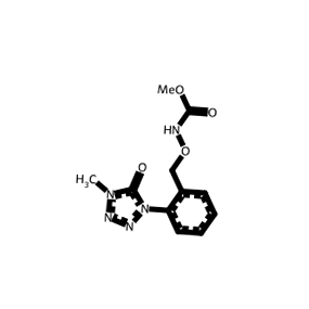 COC(=O)NOCc1ccccc1-n1nnn(C)c1=O